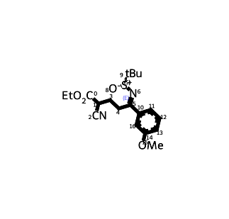 CCOC(=O)C(C#N)CC/C(=N\[S@+]([O-])C(C)(C)C)c1cccc(OC)c1